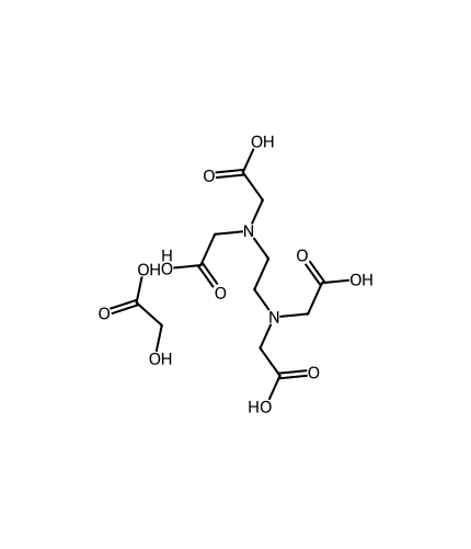 O=C(O)CN(CCN(CC(=O)O)CC(=O)O)CC(=O)O.O=C(O)CO